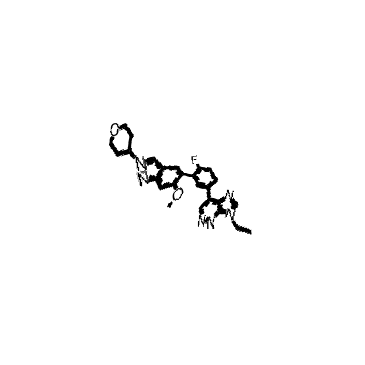 CCn1cnc2c(-c3ccc(F)c(-c4cc5cn(C6CCOCC6)nc5cc4OC)c3)cnnc21